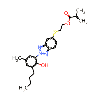 C=C(C)C(=O)OCCSc1ccc2nn(-c3cc(C)cc(CCCC)c3O)nc2c1